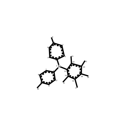 Cc1ccc(N(c2ccc(C)cc2)c2c(C)c(C)c(C)c(C)c2C)cc1